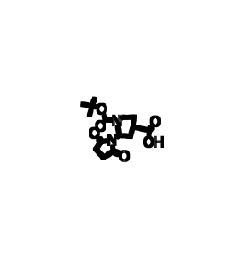 CC(C)(C)OC(=O)N1CCC(C(=O)O)CC1N1C(=O)CCC1=O